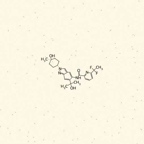 CC(C)(O)c1cc2nn([C@H]3CC[C@](C)(O)CC3)cc2cc1NC(=O)c1cccc(C(C)(F)F)n1